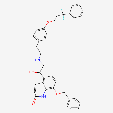 O=c1ccc2c([C@@H](O)CNCCc3ccc(OCCC(F)(F)c4ccccc4)cc3)ccc(OCc3ccccc3)c2[nH]1